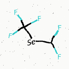 FC(F)[Se]C(F)(F)F